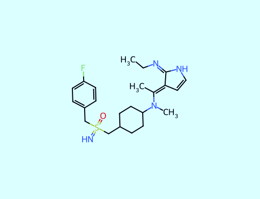 CC/N=C1/NC=C/C1=C(/C)N(C)C1CCC(CS(=N)(=O)Cc2ccc(F)cc2)CC1